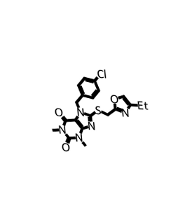 CCc1coc(CSc2nc3c(c(=O)n(C)c(=O)n3C)n2Cc2ccc(Cl)cc2)n1